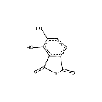 O=C1[N]C(=O)c2c1ccc(O)c2O